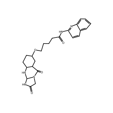 O=C(CCCCOC1CCC2NC3NC(=O)CN3C(=O)C2C1)Nc1ccc2ccccc2n1